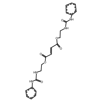 O=C(NCCOC(=O)/C=C/C(=O)OCCNC(=O)Nc1ccccc1)Nc1ccccc1